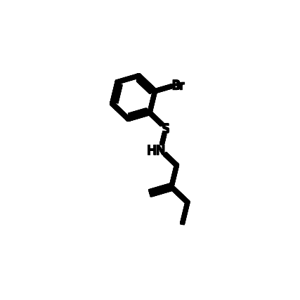 C=C(CC)CNSc1ccccc1Br